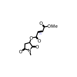 COC(=O)/C=C/C(=O)OC1CC(=O)N(C)C1=O